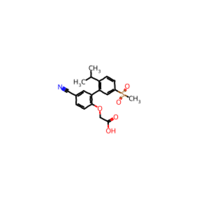 CC(C)c1ccc(S(C)(=O)=O)cc1-c1cc(C#N)ccc1OCC(=O)O